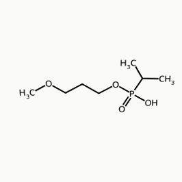 COCCCOP(=O)(O)C(C)C